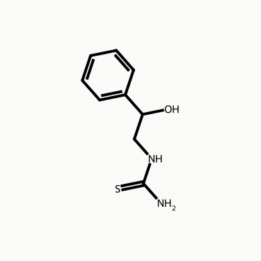 NC(=S)NCC(O)c1ccccc1